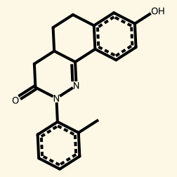 Cc1ccccc1N1N=C2c3ccc(O)cc3CCC2CC1=O